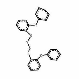 c1ccc(Oc2ccccc2SSSSc2ccccc2Oc2ccccc2)cc1